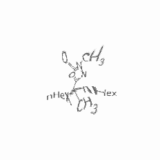 CCCCCCC(C)(CCCCCC)c1nn(C)c(=O)o1